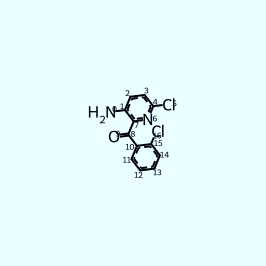 Nc1ccc(Cl)nc1C(=O)c1ccccc1Cl